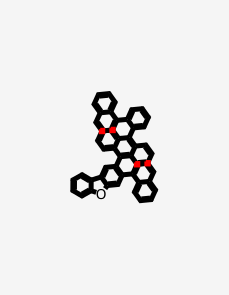 c1ccc(-c2c3ccccc3c(-c3cc4c(cc3-c3cccc5ccccc35)oc3ccccc34)c3ccccc23)c(-c2cccc3ccccc23)c1